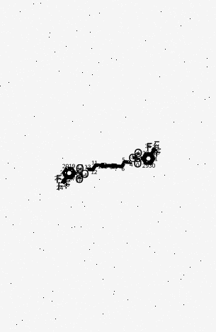 O=S(=O)(OCCCC#CC#CCCCOS(=O)(=O)c1cccc(C(F)(F)F)c1)c1cccc(C(F)(F)F)c1